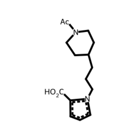 CC(=O)N1CCC(CCCn2cccc2C(=O)O)CC1